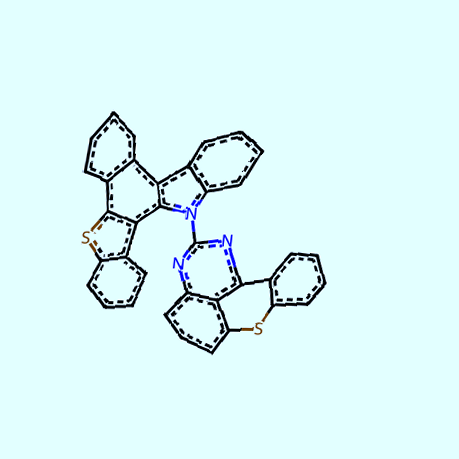 c1ccc2c(c1)Sc1cccc3nc(-n4c5ccccc5c5c6ccccc6c6sc7ccccc7c6c54)nc-2c13